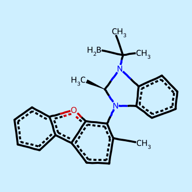 BC(C)(C)N1c2ccccc2N(c2c(C)ccc3c2oc2ccccc23)[C@H]1C